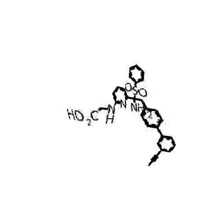 CC#Cc1cccc(-c2ccc(CC(N)(c3cccc(NCC(=O)O)n3)S(=O)(=O)c3ccccc3)cc2)c1